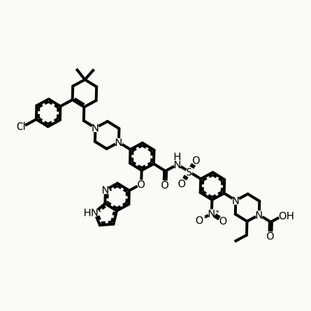 CCC1CN(c2ccc(S(=O)(=O)NC(=O)c3ccc(N4CCN(CC5=C(c6ccc(Cl)cc6)CC(C)(C)CC5)CC4)cc3Oc3cnc4[nH]ccc4c3)cc2[N+](=O)[O-])CCN1C(=O)O